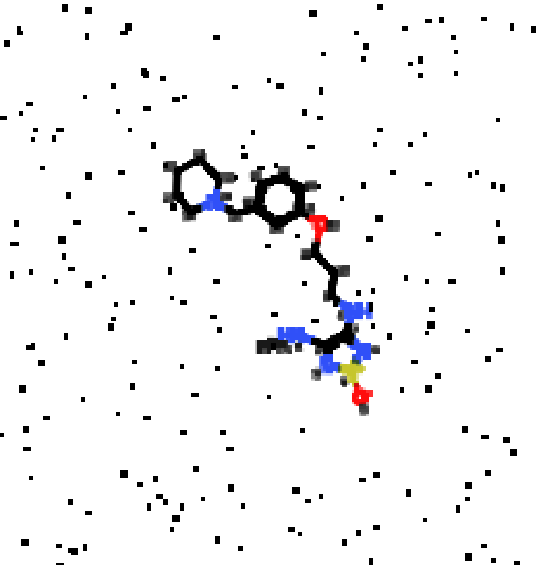 CCCNc1n[s+]([O-])nc1NCCCOc1cccc(CN2CCCCC2)c1